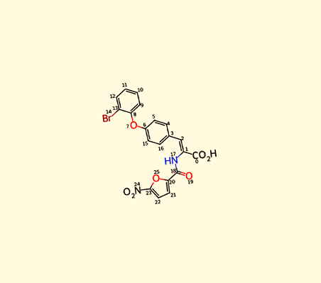 O=C(O)C(=Cc1ccc(Oc2ccccc2Br)cc1)NC(=O)c1ccc([N+](=O)[O-])o1